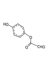 O=CC(=O)Oc1ccc(O)cc1